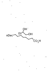 CCC(O)CO.CCCCCCCCCCCCCCCCCC(=O)O